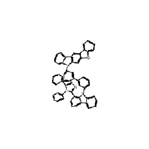 c1ccc(-c2nnc(-c3cccc4c5ccccc5n(-c5cccc(-c6cccc(-n7c8ccccc8c8cc9c(cc87)oc7ccccc79)c6)c5)c34)n2-c2ccccc2)cc1